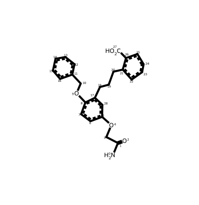 NC(=O)COc1ccc(OCc2ccccc2)c(CCCc2ccccc2C(=O)O)c1